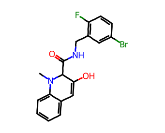 CN1c2ccccc2C=C(O)C1C(=O)NCc1cc(Br)ccc1F